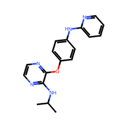 CC(C)Nc1nccnc1Oc1ccc(Nc2ccccn2)cc1